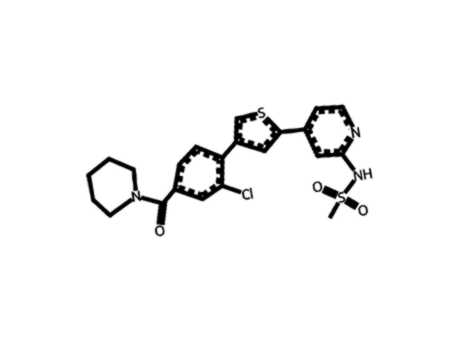 CS(=O)(=O)Nc1cc(-c2cc(-c3ccc(C(=O)N4CCCCC4)cc3Cl)cs2)ccn1